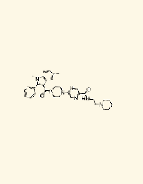 Cc1ccc2c(c1)c(C(=O)N1CCN(c3cnc(C(=O)NCCN4CCCCC4)cn3)CC1)c(-c1ccccc1)n2C